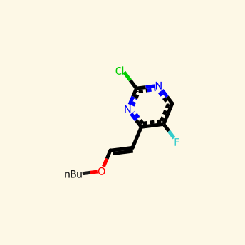 CCCCOC=Cc1nc(Cl)ncc1F